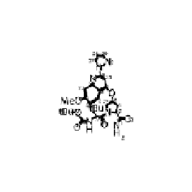 COc1ccc2c(O[C@@H]3C[C@@H](C(N)=O)N(C(=O)[C@@H](NC(=O)OC(C)(C)C)C(C)(C)C)C3)cc(-n3cccn3)nc2c1